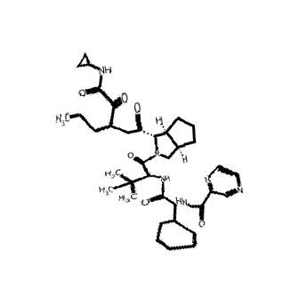 CCCC(CC(=O)[C@@H]1[C@H]2CCC[C@H]2CN1C(=O)C(NC(=O)[C@@H](NC(=O)c1cnccn1)C1CCCCC1)C(C)(C)C)C(=O)C(=O)NC1CC1